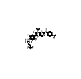 CC(C)n1c(=O)c(-c2cc(F)c(NS(=O)(=O)CCC(F)(F)F)cc2F)nc2cnc(NC3CCC(N(C)C)CC3)nc21